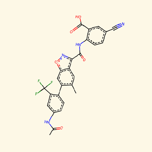 CC(=O)Nc1ccc(-c2cc3onc(C(=O)Nc4ccc(C#N)cc4C(=O)O)c3cc2C)c(C(F)(F)F)c1